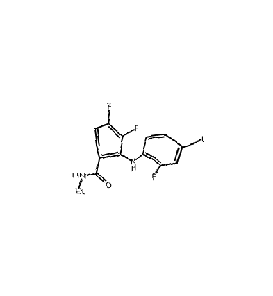 CCNC(=O)c1ccc(F)c(F)c1Nc1ccc(I)cc1F